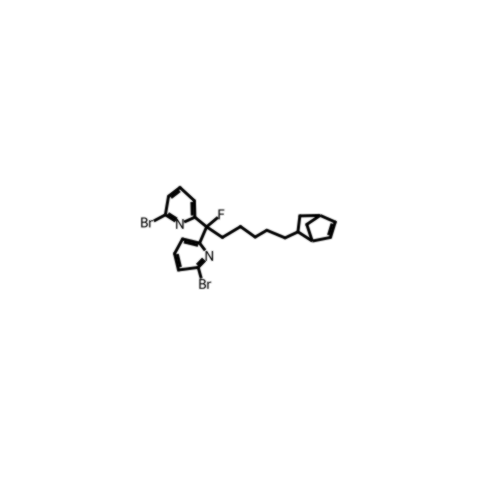 FC(CCCCCC1CC2C=CC1C2)(c1cccc(Br)n1)c1cccc(Br)n1